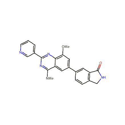 CNc1nc(-c2cccnc2)nc2c(OC)cc(-c3ccc4c(c3)C(=O)NC4)cc12